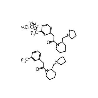 Cl.Cl.O.O=C(Cc1cccc(C(F)(F)F)c1)N1CCCCC1CN1CCCC1.O=C(Cc1cccc(C(F)(F)F)c1)N1CCCC[C@@H]1CN1CCCC1